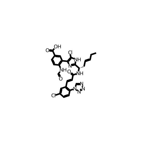 CC/C=C/C[C@H](NC(=O)/C=C/c1cc(Cl)ccc1-n1cnnn1)c1nc(-c2cc(C(=O)O)ccc2NC=O)c(Cl)[nH]1